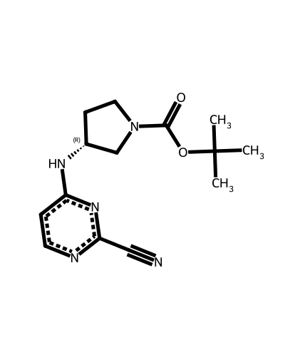 CC(C)(C)OC(=O)N1CC[C@@H](Nc2ccnc(C#N)n2)C1